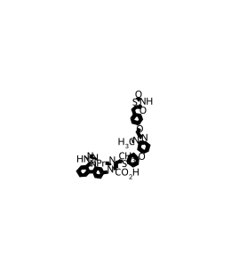 CCCc1nc(C(C)Sc2ccc(Oc3ccc4nc(COc5ccc(CC6SC(=O)NC6=O)cc5)n(C)c4c3)cc2)c(C(=O)O)n1Cc1ccc(-c2ccccc2-c2nnn[nH]2)cc1